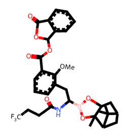 COc1c(CC(NC(=O)CCC(F)(F)F)B2OC3CC4CC(C4(C)C)C3(C)O2)cccc1C(=O)OC1OC(=O)c2ccccc21